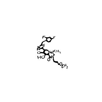 CCN1CN(CCCOC)C(=O)c2c(O)c(=O)c(-c3nnc(Cc4ccc(F)cc4F)s3)cn21